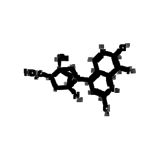 CC(C)(C)[C@]12C[C@@H](CN1C(=O)O)N(c1nc(Cl)nc3c(F)c(Cl)ncc13)C2